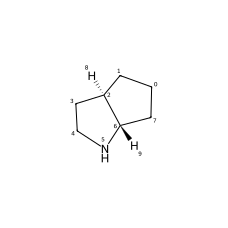 C1C[C@@H]2CCN[C@H]2C1